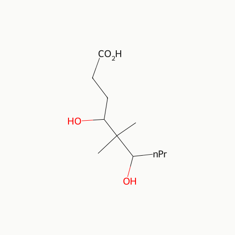 CCCC(O)C(C)(C)C(O)CCC(=O)O